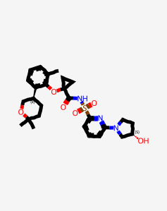 Cc1cccc([C@H]2CCC(C)(C)OC2)c1OC1(C(=O)NS(=O)(=O)c2cccc(N3CC[C@H](O)C3)n2)CC1